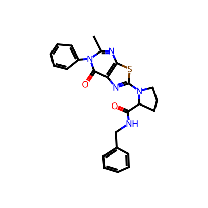 Cc1nc2sc(N3CCCC3C(=O)NCc3ccccc3)nc2c(=O)n1-c1ccccc1